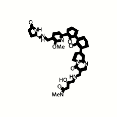 CNC(=O)CC(O)CNCc1cnc2cc(-c3cccc(-c4cccc(-c5ccc(CNC[C@@H]6CCC(=O)N6)c(OC)n5)c4Cl)c3Cl)ccn2c1=O